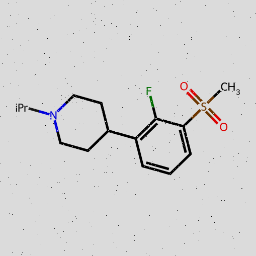 CC(C)N1CCC(c2cccc(S(C)(=O)=O)c2F)CC1